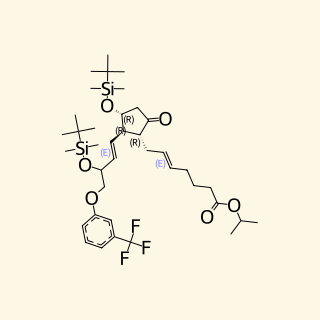 CC(C)OC(=O)CCC/C=C/C[C@H]1C(=O)C[C@@H](O[Si](C)(C)C(C)(C)C)[C@@H]1/C=C/C(COc1cccc(C(F)(F)F)c1)O[Si](C)(C)C(C)(C)C